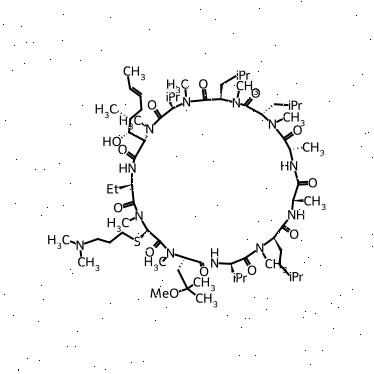 C/C=C/C[C@@H](C)[C@@H](O)[C@H]1C(=O)N[C@H](CC)C(=O)N(C)[C@H](SCCCN(C)C)C(=O)N(C)[C@@H](CC(C)(C)OC)C(=O)N[C@H](C(C)C)C(=O)N(C)[C@H](CCC(C)C)C(=O)N[C@H](C)C(=O)N[C@@H](C)C(=O)N(C)[C@@H](CC(C)C)C(=O)N(C)[C@H](CC(C)C)C(=O)N(C)[C@H](C(C)C)C(=O)N1C